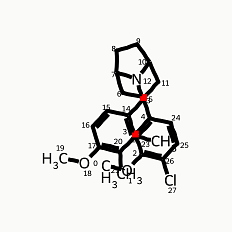 COc1cc(C2CC3CCC(C2)N3Cc2ccc(OC)c(C)c2C)ccc1Cl